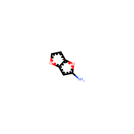 Nc1cc2occc2o1